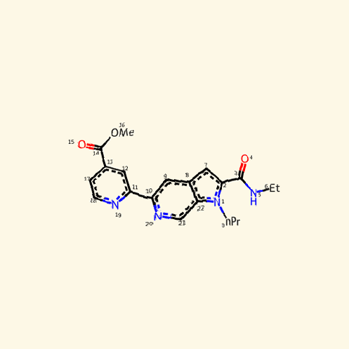 CCCn1c(C(=O)NCC)cc2cc(-c3cc(C(=O)OC)ccn3)ncc21